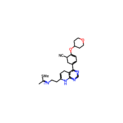 CS/C(C)=N\CCC1=CCc2c(ncnc2C2=CC=C(OC3CCOCC3)C(C#N)C2)N1